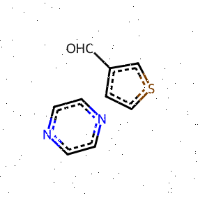 O=Cc1ccsc1.c1cnccn1